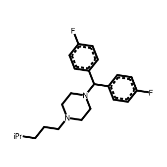 CC(C)CCCN1CCN(C(c2ccc(F)cc2)c2ccc(F)cc2)CC1